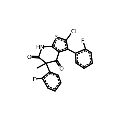 CC1(c2ccccc2F)C(=O)Nc2sc(Cl)c(-c3ccccc3F)c2C1=O